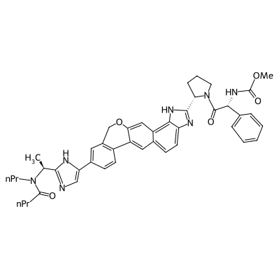 CCCC(=O)N(CCC)[C@@H](C)c1ncc(-c2ccc3c(c2)COc2cc4c(ccc5nc([C@@H]6CCCN6C(=O)[C@H](NC(=O)OC)c6ccccc6)[nH]c54)cc2-3)[nH]1